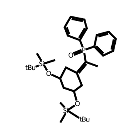 CC(=C1CC(O[Si](C)(C)C(C)(C)C)CC(O[Si](C)(C)C(C)(C)C)C1)P(=O)(c1ccccc1)c1ccccc1